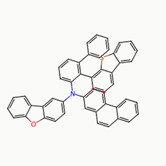 c1ccc(-c2cccc(N(c3ccc4c(ccc5ccccc54)c3)c3ccc4oc5ccccc5c4c3)c2-c2cccc3c2sc2ccccc23)cc1